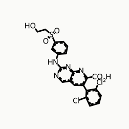 O=C(O)c1nc2nc(Nc3cccc(S(=O)(=O)CCO)c3)ncc2cc1-c1c(Cl)cccc1Cl